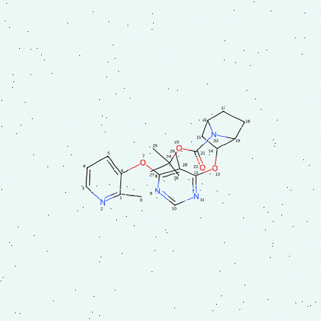 Cc1ncccc1Oc1ncnc(OC2CC3CCC2N3C(=O)OC(C)(C)C)c1C